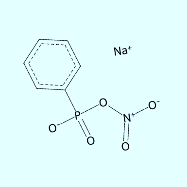 O=[N+]([O-])OP(=O)([O-])c1ccccc1.[Na+]